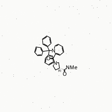 CNC(=O)[C@@H]1CCN(C(=O)C2=CC=CC=CN2C(c2ccccc2)(c2ccccc2)c2ccccc2)C1